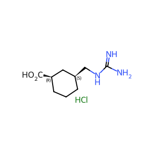 Cl.N=C(N)NC[C@H]1CCC[C@@H](C(=O)O)C1